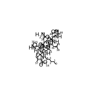 CCCCCCN(C(=O)C(O)(NC(=O)[C@@H]1CCCN1)[C@](C)(CCC)NC(=O)[C@H](CC(N)=O)NC(=O)[C@H](CC(C)C)NC(=O)[C@H](CO)NC(C)=O)[C@H](C(=O)OC)C(C)C